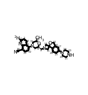 [2H]c1ccc2c(N3C[C@H](CN4CC5(C4)OCc4cc(N6CCNCC6)ccc45)O[C@H](C)C3)ccc(C#N)c2n1